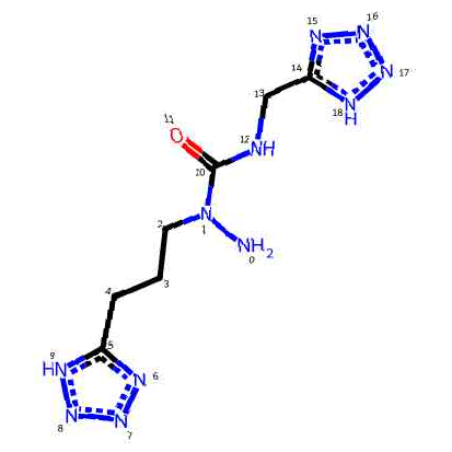 NN(CCCc1nnn[nH]1)C(=O)NCc1nnn[nH]1